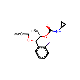 CCCC[C@H](OC(=O)NC1CC1)[C@@H](OCOC)c1ccccc1I